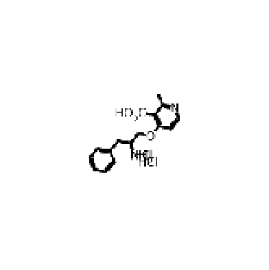 Cc1nccc(OCC(N)Cc2ccccc2)c1C(=O)O.Cl.Cl